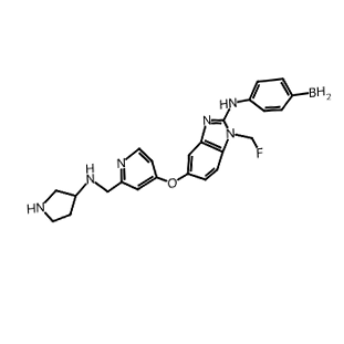 Bc1ccc(Nc2nc3cc(Oc4ccnc(CNC5CCNC5)c4)ccc3n2CF)cc1